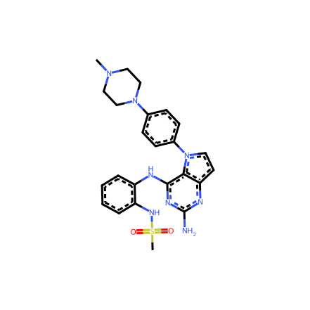 CN1CCN(c2ccc(-n3ccc4nc(N)nc(Nc5ccccc5NS(C)(=O)=O)c43)cc2)CC1